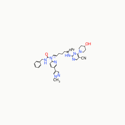 CCC[C@H](CCC/C=C/N(C(=O)NCc1ccccc1)c1ccc(-c2cnn(C)c2)cn1)Nc1ncc(C#N)c(N2CCC(O)CC2)n1